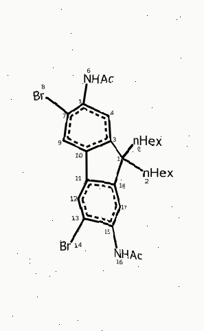 CCCCCCC1(CCCCCC)c2cc(NC(C)=O)c(Br)cc2-c2cc(Br)c(NC(C)=O)cc21